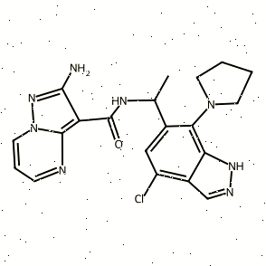 CC(NC(=O)c1c(N)nn2cccnc12)c1cc(Cl)c2cn[nH]c2c1N1CCCC1